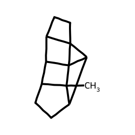 CC12C3CCC1C1C45CCC4C3C125